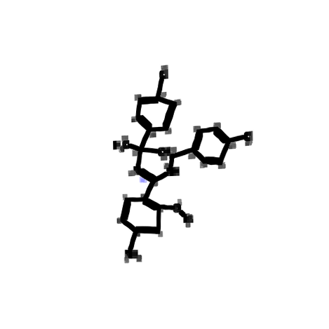 CCOc1cc(N)ccc1/C(=N/C(C)(C)c1ccc(Cl)cc1)NCc1ccc(Cl)cc1